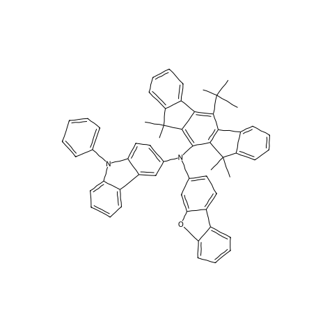 CC(C)(C)c1c2c(c(N(c3ccc4c(c3)oc3ccccc34)c3ccc4c(c3)c3ccccc3n4-c3ccccc3)c3c1-c1ccccc1C3(C)C)C(C)(C)c1ccccc1-2